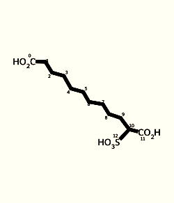 O=C(O)CCCCCCCCCC(C(=O)O)S(=O)(=O)O